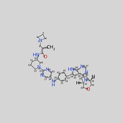 C=C(CN1CCC1)C(=O)N[C@@H]1CCCN(c2ncc(Nc3ccc(-c4cc5c(N6[C@@H]7CC[C@H]6COC7)ncnc5[nH]4)cc3)cn2)C1